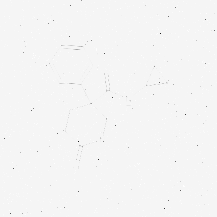 O=C1CCC(C(=O)NC2CC2)(c2ccccc2)CN1